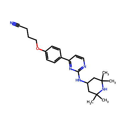 CC1(C)CC(Nc2nccc(-c3ccc(OCCCC#N)cc3)n2)CC(C)(C)N1